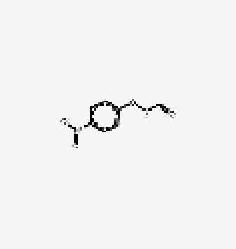 O=CNOc1ccc([N+](=O)[O-])cc1